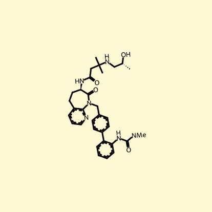 CNC(=O)Nc1ccccc1-c1ccc(CN2C(=O)[C@H](NC(=O)CC(C)(C)NC[C@@H](C)O)CCc3cccnc32)cc1